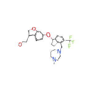 CN1CCCN(Cc2c(C(F)(F)F)ccc3c2CCC3Oc2ccc3c(c2)OCC3CC=O)CC1